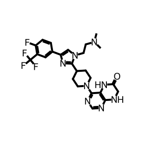 CN(C)CCn1cc(-c2ccc(F)c(C(F)(F)F)c2)nc1C1CCN(c2ncnc3c2NC(=O)CN3)CC1